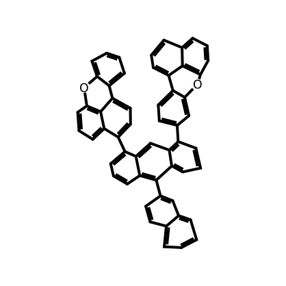 c1ccc2c(c1)Oc1cccc3c(-c4cccc5c(-c6ccc7ccccc7c6)c6cccc(-c7ccc8c(c7)Oc7cccc9cccc-8c79)c6cc45)ccc-2c13